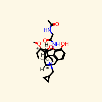 CO[C@]12CC[C@@]3(C[C@@H]1CNC(=O)CNC(C)=O)[C@H]1Cc4ccc(O)c5c4C3(CCN1CC1CC1)[C@H]2O5